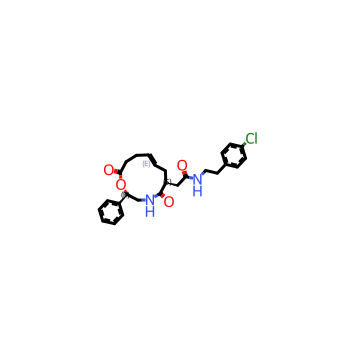 O=C(C[C@@H]1C/C=C/CCC(=O)O[C@H](c2ccccc2)CNC1=O)NCCc1ccc(Cl)cc1